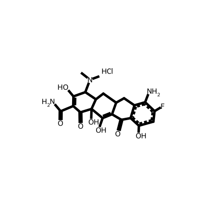 CN(C)C1C(O)=C(C(N)=O)C(=O)C2(O)C(O)=C3C(=O)c4c(O)cc(F)c(N)c4CC3CC12.Cl